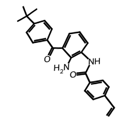 C=Cc1ccc(C(=O)Nc2cccc(C(=O)c3ccc(C(C)(C)C)cc3)c2N)cc1